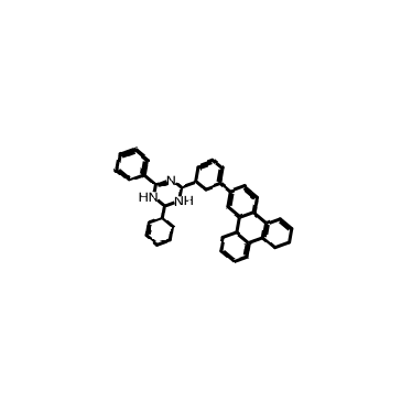 C1=CCC2C(=C1)C1=C(C=CCC1)C1C=CC(C3=CC=CC(C4N=C(c5ccccc5)NC(C5C=CCCC5)N4)C3)=CC12